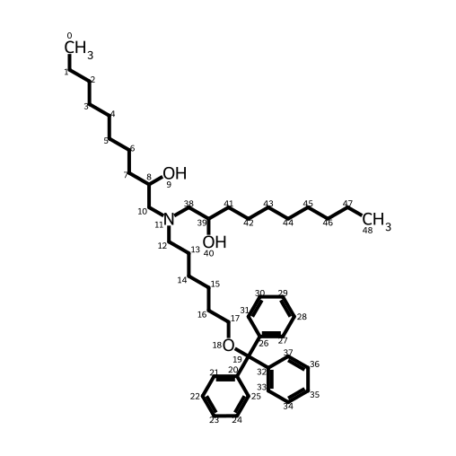 CCCCCCCCC(O)CN(CCCCCCOC(c1ccccc1)(c1ccccc1)c1ccccc1)CC(O)CCCCCCCC